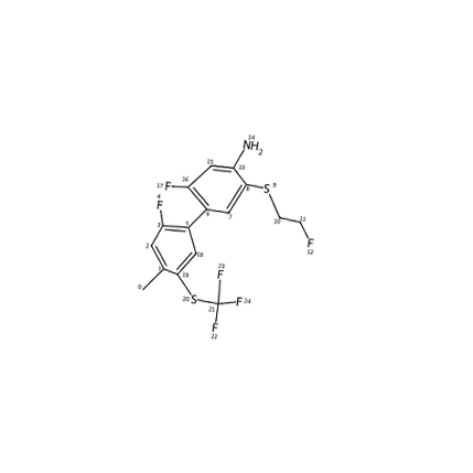 Cc1cc(F)c(-c2cc(SCCF)c(N)cc2F)cc1SC(F)(F)F